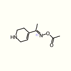 CC(=O)O/N=C(\C)C1=CCNCC1